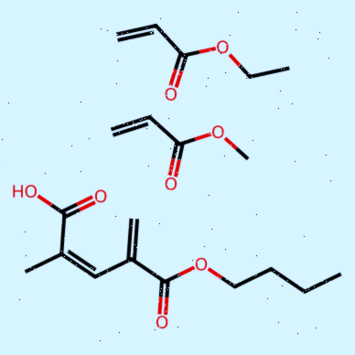 C=C(C=C(C)C(=O)O)C(=O)OCCCC.C=CC(=O)OC.C=CC(=O)OCC